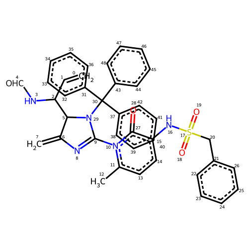 C=CC(NC=O)C1C(=C)N=C(n2c(C)ccc(NS(=O)(=O)Cc3ccccc3)c2=O)N1C(c1ccccc1)(c1ccccc1)c1ccccc1